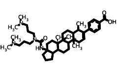 CC1C(c2ccc(C(=O)O)cc2)=CCC2(C)C1CCC1(C)C2CCC2C3CCCC3(NC(=O)N(CCCN(C)C)CCCN(C)C)CC[C@]21C